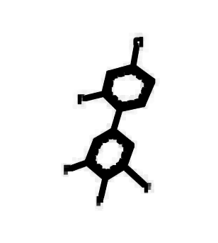 Fc1cc(Cl)ccc1-c1cc(F)c(F)c(F)c1